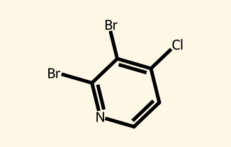 Clc1ccnc(Br)c1Br